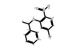 CC(Oc1cc(Br)cnc1[N+](=O)[O-])c1cccnc1